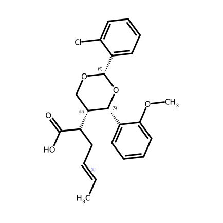 C/C=C/CC(C(=O)O)[C@@H]1CO[C@H](c2ccccc2Cl)O[C@@H]1c1ccccc1OC